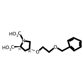 O=C(O)[C@@H]1C[C@@H](OCCOCc2ccccc2)CN1C(=O)O